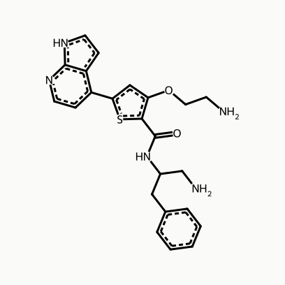 NCCOc1cc(-c2ccnc3[nH]ccc23)sc1C(=O)NC(CN)Cc1ccccc1